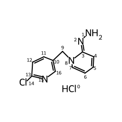 Cl.NN=c1ccccn1Cc1ccc(Cl)nc1